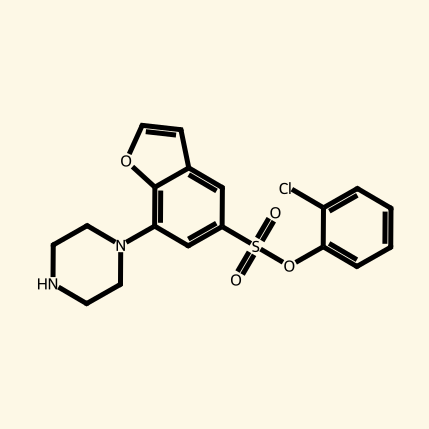 O=S(=O)(Oc1ccccc1Cl)c1cc(N2CCNCC2)c2occc2c1